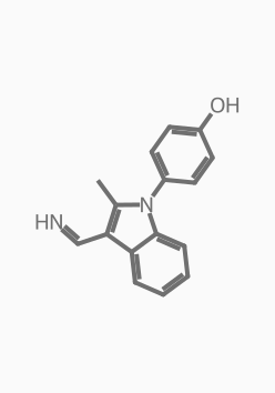 Cc1c(C=N)c2ccccc2n1-c1ccc(O)cc1